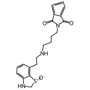 O=C1c2ccccc2C(=O)N1CCCCNCCc1cccc2c1[S+]([O-])CN2